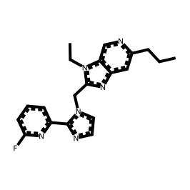 CCCc1cc2nc(Cn3ccnc3-c3cccc(F)n3)n(CC)c2cn1